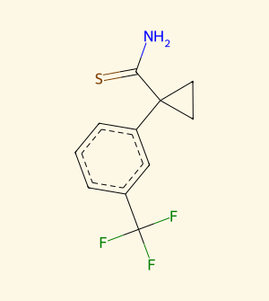 NC(=S)C1(c2cccc(C(F)(F)F)c2)CC1